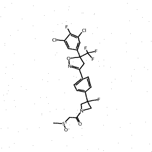 C[S+]([O-])CC(=O)N1CC(F)(c2ccc(C3=NOC(c4cc(Cl)c(F)c(Cl)c4)(C(F)(F)F)C3)cc2)C1